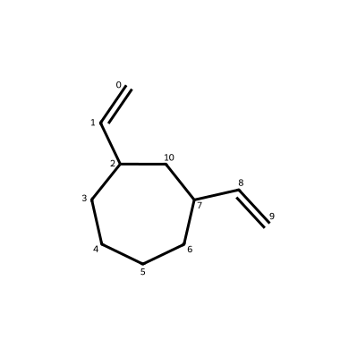 C=CC1CCCCC(C=C)C1